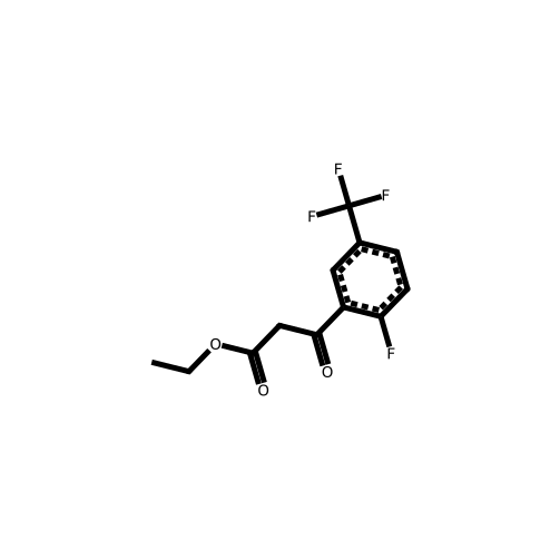 CCOC(=O)CC(=O)c1cc(C(F)(F)F)ccc1F